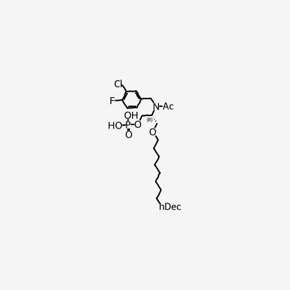 CCCCCCCCCCCCCCCCCCOC[C@H](COP(=O)(O)O)N(Cc1ccc(F)c(Cl)c1)C(C)=O